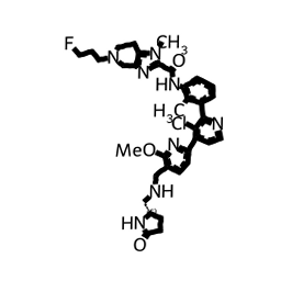 COc1nc(-c2ccnc(-c3cccc(NC(=O)c4nc5c(n4C)CCN(CCCF)C5)c3C)c2Cl)ccc1CNC[C@@H]1CCC(=O)N1